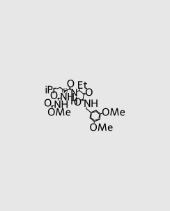 CCC(NC(=O)[C@H](CC(C)C)NC(=O)NC(=O)OC)C(=O)C(=O)NCc1cc(OC)cc(OC)c1